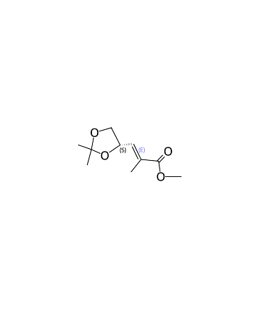 COC(=O)/C(C)=C/[C@H]1COC(C)(C)O1